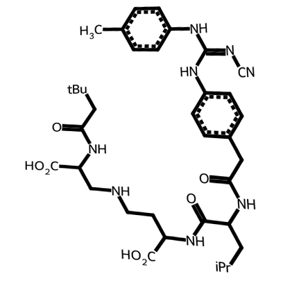 Cc1ccc(NC(=NC#N)Nc2ccc(CC(=O)NC(CC(C)C)C(=O)NC(CCNCC(NC(=O)CC(C)(C)C)C(=O)O)C(=O)O)cc2)cc1